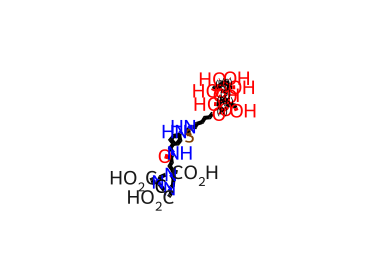 O=C(O)CN1CCN(CC(=O)O)CCN(C(CCC(=O)NCc2ccc(NC(=S)NCCCCCCO[C@@H]3OC(CO)[C@@H](O[C@@H]4OC(CO)[C@H](O)[C@H](O)C4O)[C@H](O)C3O)cc2)C(=O)O)CC1